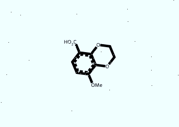 COc1ccc(C(=O)O)c2c1OCCO2